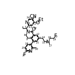 CCOc1cc(C(C)N2CCc3c(cc(CCN(C)CCF)cc3-c3ccc(F)nc3C)C2=O)ncc1C#N